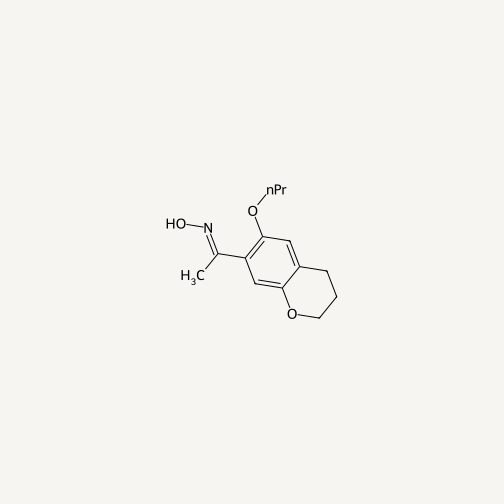 CCCOc1cc2c(cc1/C(C)=N/O)OCCC2